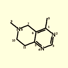 Cc1ncnc2c1CN(C)CC2